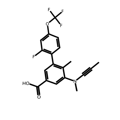 CC#CN(C)c1cc(C(=O)O)cc(-c2ccc(OC(F)(F)F)cc2F)c1C